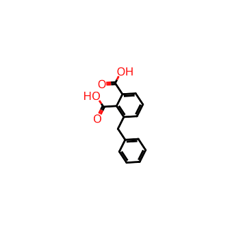 O=C(O)c1cccc(Cc2ccccc2)c1C(=O)O